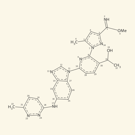 COC(=N)c1cc(C)n(-c2nc(-n3cnc4cc(Nc5ccc(C)nn5)ccc43)ccc2C(C)O)n1